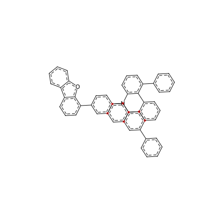 c1ccc(-c2ccc(N(c3ccc(-c4cccc5c4oc4ccccc45)cc3)c3cccc(-c4ccccc4)c3-c3ccccc3-c3ccccc3)cc2)cc1